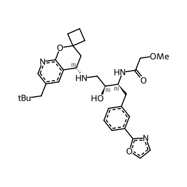 COCC(=O)N[C@@H](Cc1cccc(-c2ncco2)c1)[C@@H](O)CN[C@H]1CC2(CCC2)Oc2ncc(CC(C)(C)C)cc21